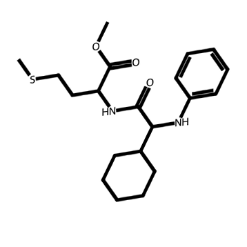 COC(=O)C(CCSC)NC(=O)C(Nc1ccccc1)C1CCCCC1